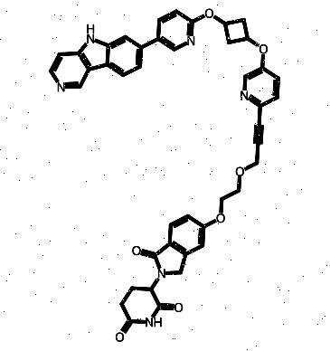 O=C1CCC(N2Cc3cc(OCCOCC#Cc4ccc(OC5CC(Oc6ccc(-c7ccc8c(c7)[nH]c7ccncc78)cn6)C5)cn4)ccc3C2=O)C(=O)N1